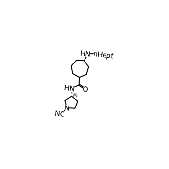 CCCCCCCNC1CCCC(C(=O)N[C@@H]2CCN(C#N)C2)CC1